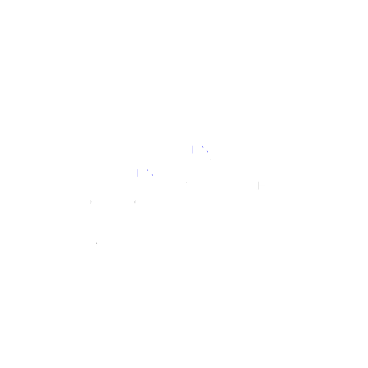 CC(C)NCNC1CCC1